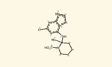 CC(C)(C)C1(Nc2nc(Cl)nc3[nH]ccc23)CCCCN1C(=O)O